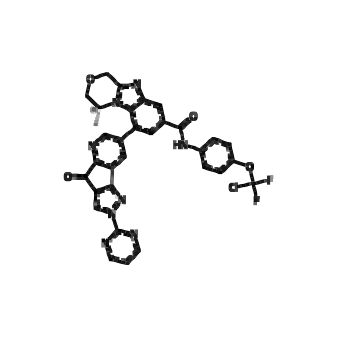 C[C@@H]1COCc2nc3cc(C(=O)Nc4ccc(OC(F)(F)Cl)cc4)cc(-c4cnc5c(c4)-c4nn(-c6ncccn6)cc4C5=O)c3n21